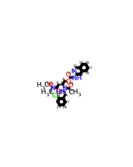 CON(C)C(=O)C[C@@H](COC(=O)Nc1cc2ccccc2cn1)N(NCc1ccccc1Cl)C(C)=O